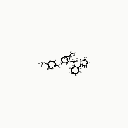 Cc1ccc(OC2CC3CC2N(C(=O)c2ccccc2-n2nccn2)C3CF)nc1